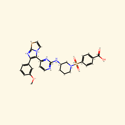 COc1cccc(-c2nc3sccn3c2-c2ccnc(N[C@@H]3CCCN(S(=O)(=O)c4ccc(C(=O)O)cc4)C3)n2)c1